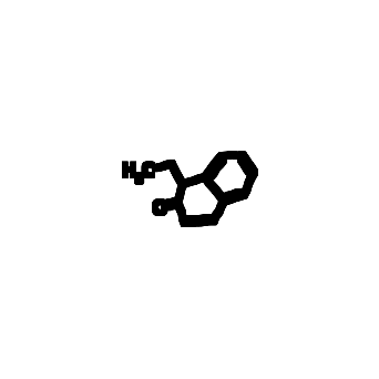 CCC1C(=O)C=Cc2ccccc21